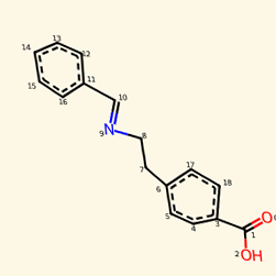 O=C(O)c1ccc(CCN=Cc2ccccc2)cc1